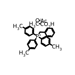 CC(=O)O.CC(=O)[O-].Cc1ccc([P+](Cc2ccccc2)(c2ccc(C)cc2)c2ccc(C)cc2)cc1